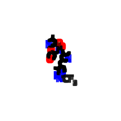 Cc1cnc2c(c1)S(=O)(=O)N(Cc1cc(Cc3ccn4c(C(F)(F)F)nnc4c3C)cnc1C)CC1(CCOCC1)O2